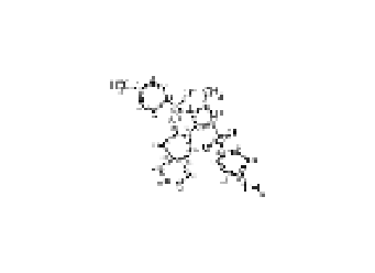 Cc1ccc(S(=O)(=O)c2c(C)nn(S(=O)(=O)c3ccc(C)cc3)c2-c2ccc3ccccc3c2)cc1